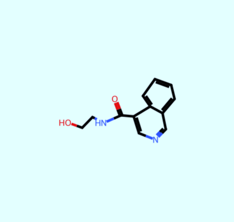 O=C(NCCO)c1cncc2ccccc12